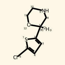 [2H][C@]1(c2ccc(Cl)s2)CNCCO1